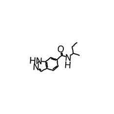 CCC(C)NC(=O)c1ccc2cn[nH]c2c1